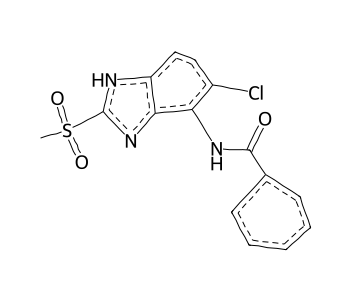 CS(=O)(=O)c1nc2c(NC(=O)c3ccccc3)c(Cl)ccc2[nH]1